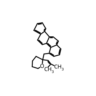 CC(C)=CC1(Cc2cccc3ccc4c5ccccc5ccc4c23)CCCCO1